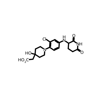 O=C(O)CC1(O)CCN(c2ccc(NC3CCC(=O)NC3=O)cc2Cl)CC1